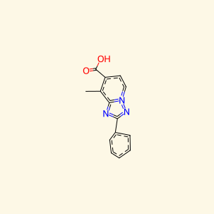 Cc1c(C(=O)O)ccn2nc(-c3ccccc3)nc12